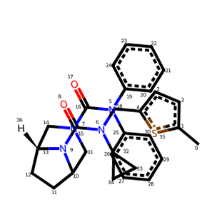 Cc1ccc(CN(C(=O)N2C3CC[C@@H]2CN(C(=O)N(c2ccccc2)c2ccccc2)C3)C2CC2)s1